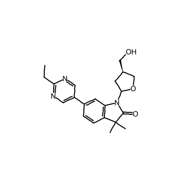 CCc1ncc(-c2ccc3c(c2)N(C2C[C@@H](CO)CO2)C(=O)C3(C)C)cn1